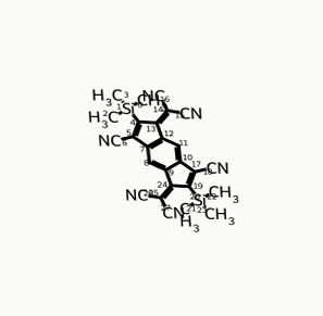 C[Si](C)(C)C1=C(C#N)c2cc3c(cc2C1=C(C#N)C#N)C(C#N)=C([Si](C)(C)C)C3=C(C#N)C#N